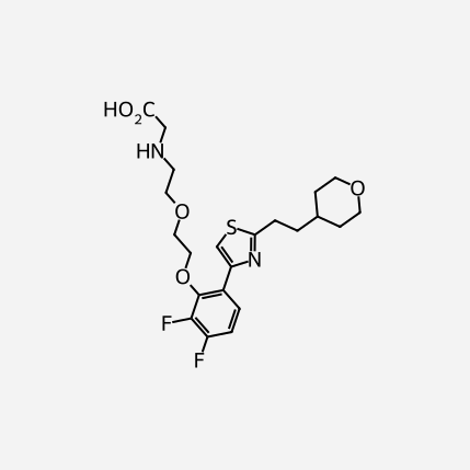 O=C(O)CNCCOCCOc1c(-c2csc(CCC3CCOCC3)n2)ccc(F)c1F